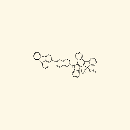 CC1(C)c2ccccc2-c2c1c1c3ccccc3n(-c3ccc4cc(-c5ccc6c7c(cccc57)-c5ccccc5-6)ccc4c3)c1c1ccccc21